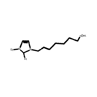 CCCCCCCCCCCCCCCCCN1C=CN(CC)C1CC